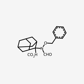 O=CN(OCc1ccccc1)C1(C(=O)O)C2CC3CC(C2)CC1C3